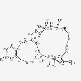 CO[C@@H]1/C=C/CCNC(=O)NS(=O)(=O)c2ccc3c(c2)N(CCCCc2cc(Cl)ccc2CO3)C[C@@H]2CC[C@H]21